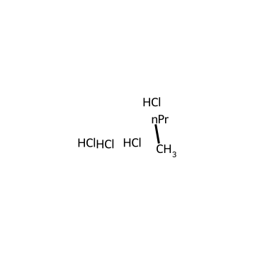 CCCC.Cl.Cl.Cl.Cl